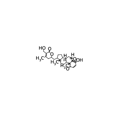 CC1=C(CO)C(=O)OC(CC2CCC3[C@@H]4C[C@H]5O[C@]56[C@@H](O)C=CC(=O)[C@]6(C)C4CC[C@]23C)C1